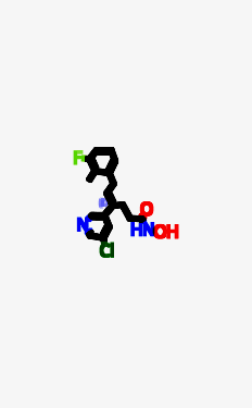 Cc1c(F)cccc1C/C=C(\CCC(=O)NO)c1cncc(Cl)c1